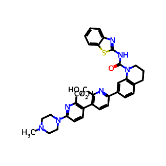 CN1CCN(c2ccc(-c3ccc(-c4ccc5c(c4)N(C(=O)Nc4nc6ccccc6s4)CCC5)nc3C(=O)O)c(C(=O)O)n2)CC1